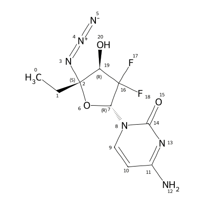 CC[C@]1(N=[N+]=[N-])O[C@@H](n2ccc(N)nc2=O)C(F)(F)[C@@H]1O